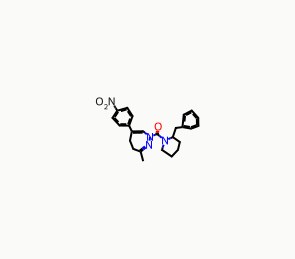 CC1=NN(C(=O)N2CCCCC2Cc2ccccc2)C=C(c2ccc([N+](=O)[O-])cc2)CC1